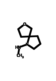 CNN1CCCC12CCOC2